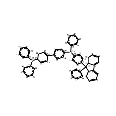 C1=CCC2C(=C1)C1=CC=CCC1C2(c1ccccc1)c1ccc(N(c2ccccc2)c2ccc(C3=CCC(N(c4ccccc4)c4ccccc4)C=C3)cc2)cc1